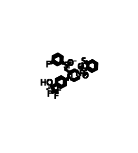 C[C@](O)(c1ccc(N2CCN(S(=O)(=O)C3=CC=CCC3=S)C[C@@H]2C[S@@+]([O-])c2cccc(F)c2)cc1)C(F)(F)F